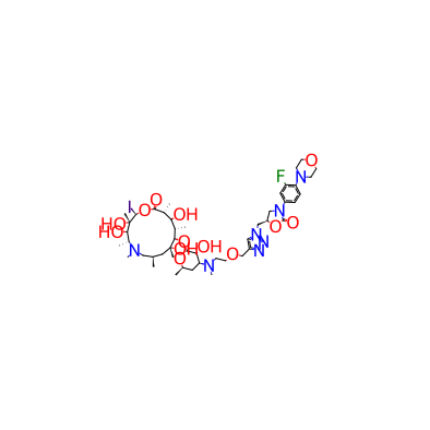 C[C@H]1CN(C)[C@H](C)[C@@H](O)[C@](C)(O)[C@@H](I)OC(=O)[C@H](C)[C@@H](O)[C@H](C)[C@@H](O[C@@H]2O[C@H](C)C[C@H](N(C)CCOCc3cn(C[C@H]4CN(c5ccc(N6CCOCC6)c(F)c5)C(=O)O4)nn3)[C@H]2O)[C@](C)(O)C1